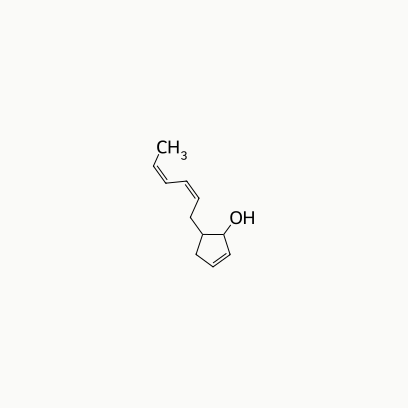 C/C=C\C=C/CC1CC=CC1O